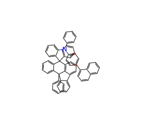 c1ccc(N(c2ccc(-c3cccc4ccccc34)cc2)c2ccccc2C2(c3ccccc3)c3ccccc3C3(c4ccccc4)c4ccccc4-c4cccc2c43)cc1